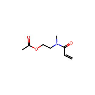 C=CC(=O)N(C)CCOC(C)=O